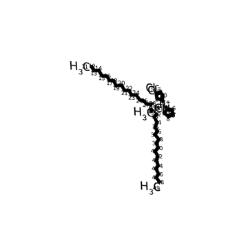 C1=CC[C]([Ti+][C]2=CC=CC2)=C1.CCCCCCCCCCCCCCCCCC[N+](C)(C)CCCCCCCCCCCCCCCCCC.[Cl-].[Cl-]